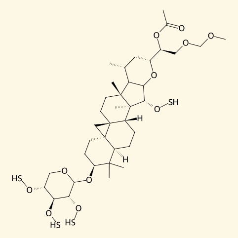 COCOC[C@H](OC(C)=O)[C@H]1C[C@@H](C)C2C(O1)[C@H](OS)[C@@]1(C)[C@@H]3CC[C@H]4C(C)(C)[C@@H](OC5OC[C@@H](OS)[C@H](OS)[C@H]5OS)CC[C@@]45C[C@@]35CC[C@]21C